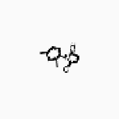 Cc1ccc(-n2[nH]ccc2=O)c(C)c1